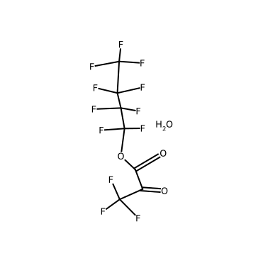 O.O=C(OC(F)(F)C(F)(F)C(F)(F)C(F)(F)F)C(=O)C(F)(F)F